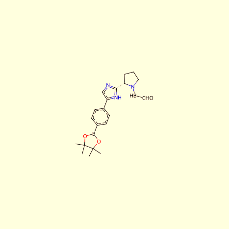 CC1(C)OB(c2ccc(-c3cnc([C@@H]4CCCN4BC=O)[nH]3)cc2)OC1(C)C